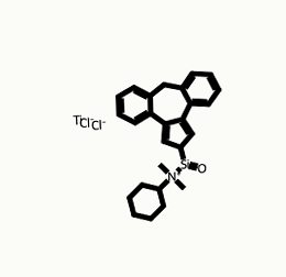 C[N+](C)(C1CCCCC1)[Si](=O)C1C=C2C(=C1)c1ccccc1Cc1ccccc12.[Cl-].[Cl-].[Ti]